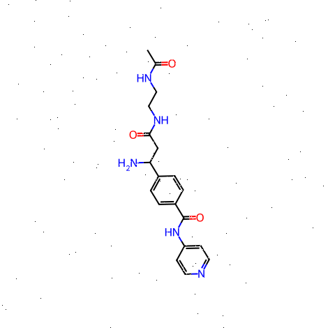 CC(=O)NCCNC(=O)CC(N)c1ccc(C(=O)Nc2ccncc2)cc1